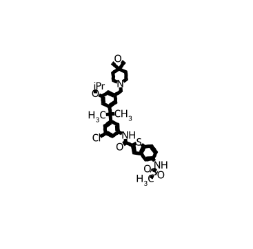 CC(C)Oc1cc(CN2CCC3(CC2)COC3)cc(C(C)(C)c2cc(Cl)cc(NC(=O)c3cc4cc(NS(C)(=O)=O)ccc4s3)c2)c1